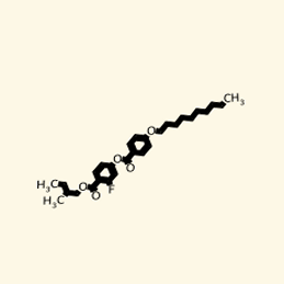 CCCCCCCCCCOc1ccc(C(=O)Oc2ccc(C(=O)OCC(C)CC)c(F)c2)cc1